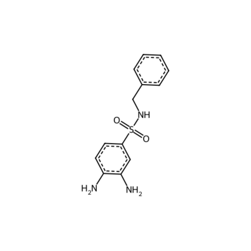 Nc1ccc(S(=O)(=O)NCc2ccccc2)cc1N